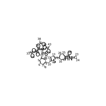 CS[C@H]1C(c2ccc(C)c(Cc3ccc(-c4ccc(C(=O)NC5CC5)cc4)s3)c2)O[C@H](OC(C)=O)[C@@H](OC(C)=O)[C@@H]1OC(C)=O